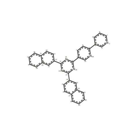 c1cncc(-c2ccc(-c3nc(-c4ccc5ccccc5c4)nc(-c4ccc5ccccc5c4)n3)cn2)c1